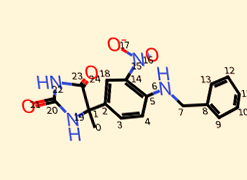 CC1(c2ccc(NCc3ccccc3)c([N+](=O)[O-])c2)NC(=O)NC1=O